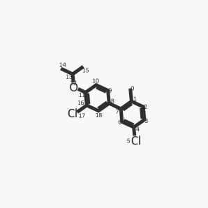 Cc1ccc(Cl)cc1-c1ccc(OC(C)C)c(Cl)c1